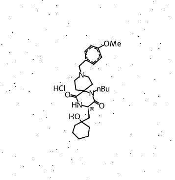 CCCCN1C(=O)[C@@H](CC2(O)CCCCC2)NC(=O)C12CCN(Cc1ccc(OC)cc1)CC2.Cl